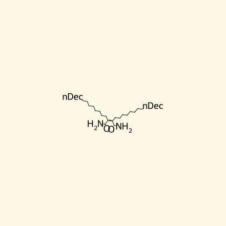 CCCCCCCCCCCCCCCCCC/C(C(N)=O)=C(\CCCCCCCCCCCCCCCCCC)C(N)=O